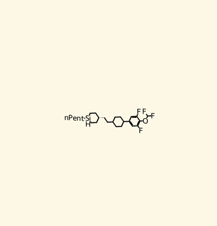 CCCCC[Si@H]1CC[C@H](CCC2CCC(c3cc(F)c(OC(F)F)c(F)c3)CC2)CC1